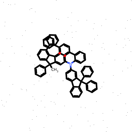 CC1(c2ccccc2)c2cc(N(c3ccc4c(c3)C(c3ccccc3)(c3ccccc3)c3ccccc3-4)c3ccccc3-c3ccc(-c4ccccc4)cc3)ccc2-c2c(-c3ccccc3)cccc21